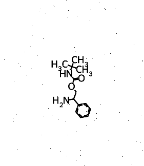 CC(C)(C)NC(=O)OCC(N)c1ccccc1